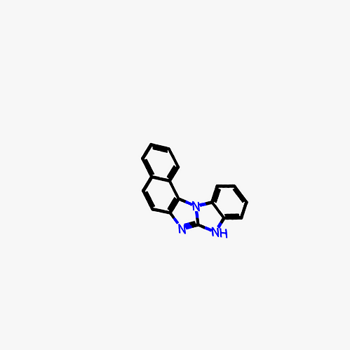 c1ccc2c(c1)ccc1nc3[nH]c4ccccc4n3c12